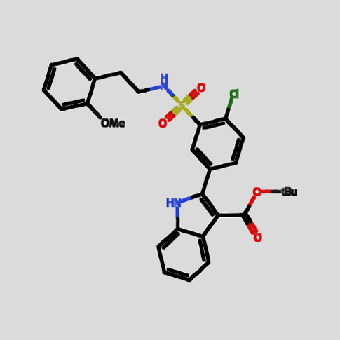 COc1ccccc1CCNS(=O)(=O)c1cc(-c2[nH]c3ccccc3c2C(=O)OC(C)(C)C)ccc1Cl